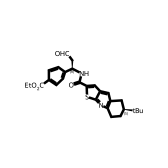 CCOC(=O)c1ccc([C@@H](CC=O)NC(=O)c2cc3cc4c(nc3s2)CC[C@H](C(C)(C)C)C4)cc1